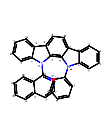 c1ccc(-n2c3ccccc3c3ccc4c5ccccc5n(-c5nccc6ccccc56)c4c32)cc1